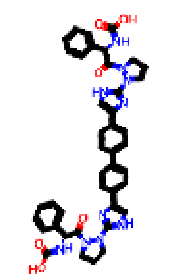 O=C(O)N[C@@H](C(=O)N1CCCN1c1nc(-c2ccc(-c3ccc(-c4c[nH]c(N5CCCN5C(=O)[C@H](NC(=O)O)c5ccccc5)n4)cc3)cc2)c[nH]1)c1ccccc1